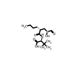 CCCC[C@H](CN(O)C=O)C(=O)N[C@H](C(=O)O)C(C)(C)C